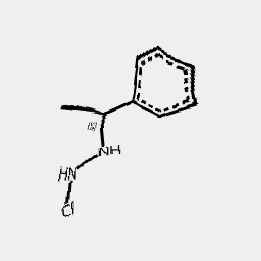 C[C@H](NNCl)c1ccccc1